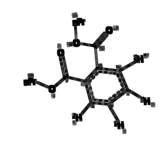 [2H]c1c([2H])c([2H])c(C(=O)OCCC)c(C(=O)OCCC)c1[2H]